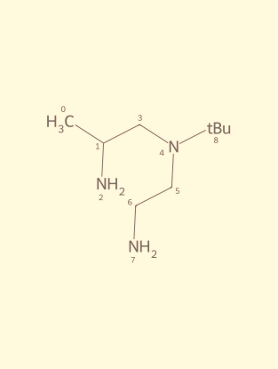 CC(N)CN(CCN)C(C)(C)C